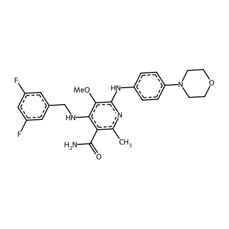 COc1c(Nc2ccc(N3CCOCC3)cc2)nc(C)c(C(N)=O)c1NCc1cc(F)cc(F)c1